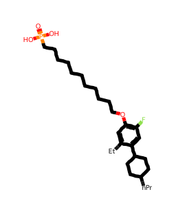 CCCC1CCC(c2cc(F)c(OCCCCCCCCCCCP(=O)(O)O)cc2CC)CC1